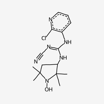 CC1(C)CC(NC(=NC#N)Nc2cccnc2Cl)C(C)(C)N1O